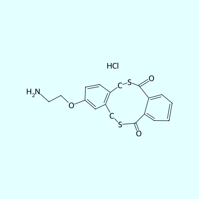 Cl.NCCOc1ccc2c(c1)CSC(=O)c1ccccc1C(=O)SC2